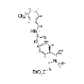 CCCN(CCC(=O)OCC)C(=O)c1ccc2oc(NCc3cccc(Cl)c3)nc2c1